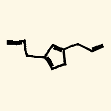 C=CCC1=[C]CC(CC=C)=C1